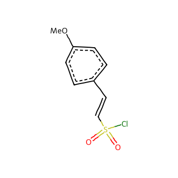 COc1ccc(C=CS(=O)(=O)Cl)cc1